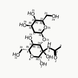 CC(=O)N[C@]1(O)[C@H](O)O[C@H](CO)[C@@H](O)[C@@H]1O[C@H]1C[C@@H](O)[C@@H](O)[C@@H](CO)O1